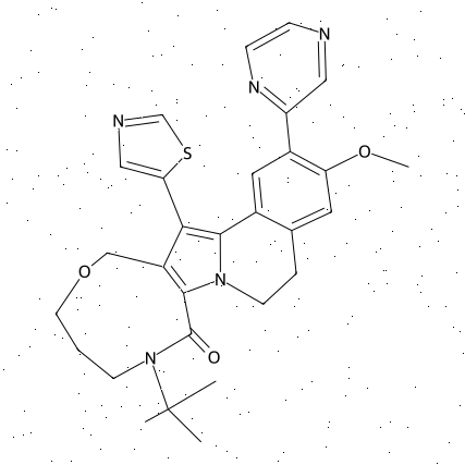 COc1cc2c(cc1-c1cnccn1)-c1c(-c3cncs3)c3c(n1CC2)C(=O)N(C(C)(C)C)CCCOC3